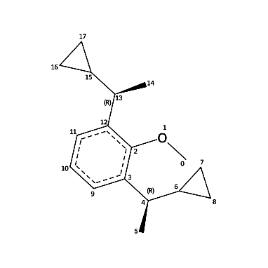 COc1c([C@H](C)C2CC2)cccc1[C@H](C)C1CC1